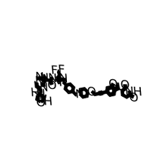 O=C1CC[C@@H](c2coc3cc(C#CCOC4CCN(CC5CCC(n6cc(NC(=O)c7cnn8ccc(N9C[C@H]%10C[C@@H]9CO%10)nc78)c(C(F)F)n6)CC5)CC4)ccc23)C(=O)N1